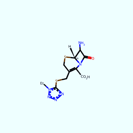 CCn1nnnc1SCC1=C(C(=O)O)N2C(=O)C(N)[C@H]2SC1